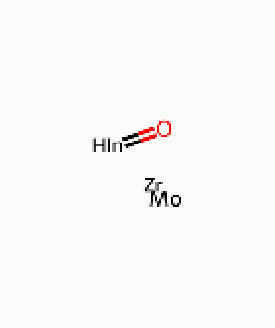 [Mo].[O]=[InH].[Zr]